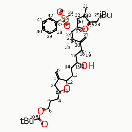 C=C1C[C@H](CCCOC(=O)C(C)(C)C)OC1CCC(O)C[C@@H](C)C(=C)[C@H](C)C[C@@H]1O[C@H](C[C@H](C)CC)[C@H](C)[C@H]1CS(=O)(=O)c1ccccc1